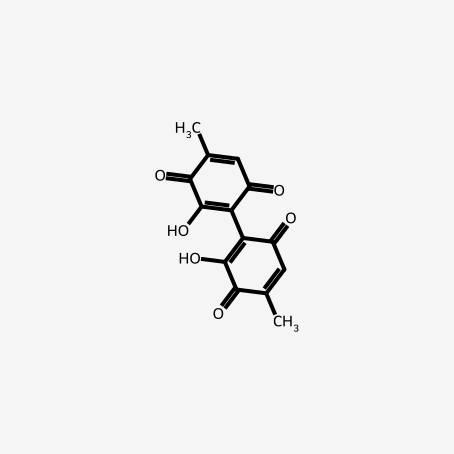 CC1=CC(=O)C(C2=C(O)C(=O)C(C)=CC2=O)=C(O)C1=O